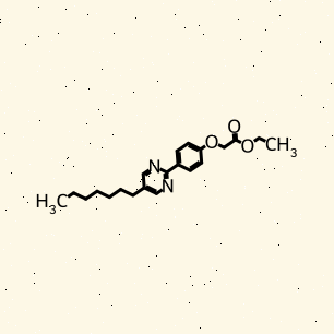 CCCCCCCc1cnc(-c2ccc(OCC(=O)OCC)cc2)nc1